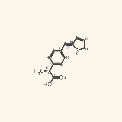 C[C@H](C(=O)O)c1ccc(/C=C2/C=CCS2)cc1